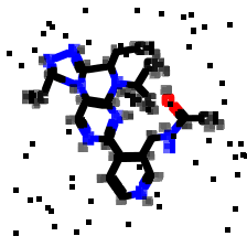 CCC1c2nnc(C)n2-c2cnc(-c3ccncc3CNC(C)=O)nc2N1C(C)C